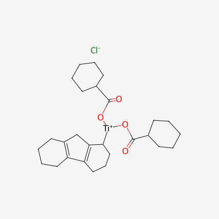 O=C([O][Ti+]([O]C(=O)C1CCCCC1)[CH]1CCCC2=C1CC1=C2CCCC1)C1CCCCC1.[Cl-]